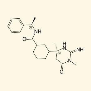 C[C@@H](NC(=O)C1CCCC([C@]2(C)CC(=O)N(C)C(=N)N2)C1)c1ccccc1